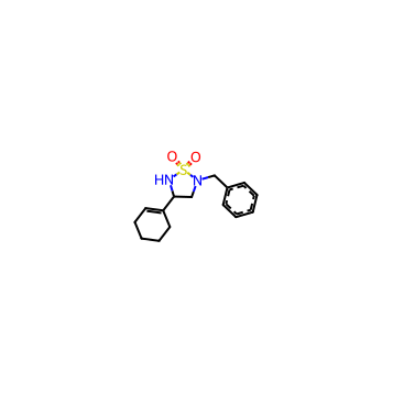 O=S1(=O)NC(C2=CCCCC2)CN1Cc1ccccc1